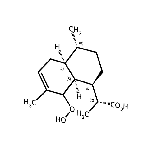 CC1=CC[C@@H]2[C@H](C1OO)[C@H]([C@@H](C)C(=O)O)CC[C@H]2C